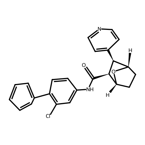 O=C(Nc1ccc(-c2ccccc2)c(Cl)c1)[C@H]1[C@@H](c2ccncc2)[C@@H]2CC[C@H]1O2